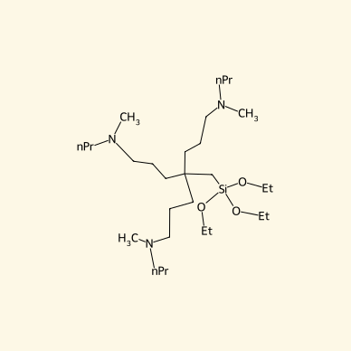 CCCN(C)CCCC(CCCN(C)CCC)(CCCN(C)CCC)C[Si](OCC)(OCC)OCC